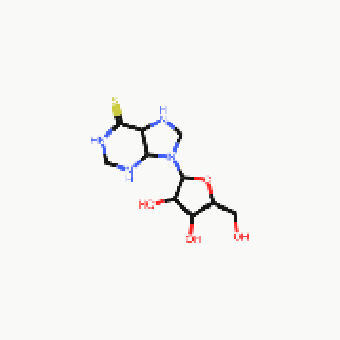 OCC1OC(N2CNC3C(=S)NCNC32)C(O)C1O